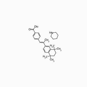 C/C(=C\c1ccc(C(=O)O)cc1)c1ccc2c(c1)C(C)(C)CCC2(C)C.C1CCNCC1